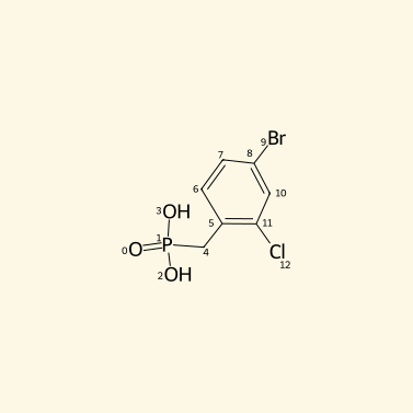 O=P(O)(O)Cc1ccc(Br)cc1Cl